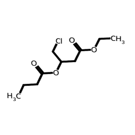 CCCC(=O)OC(CCl)CC(=O)OCC